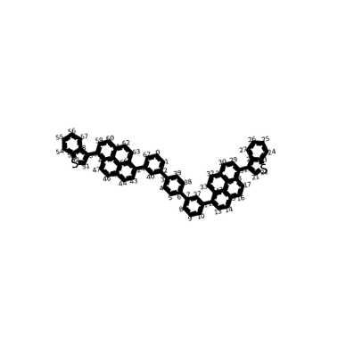 c1cc(-c2ccc(-c3cccc(-c4ccc5ccc6c(-c7csc8ccccc78)ccc7ccc4c5c76)c3)cc2)cc(-c2ccc3ccc4c(-c5csc6ccccc56)ccc5ccc2c3c54)c1